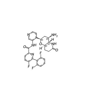 N[C@@H]1C[C@H](c2ccncc2NC(=O)c2ccc(F)c(-c3c(F)cccc3F)n2)O[C@@H]2CCC(=O)N[C@@H]12